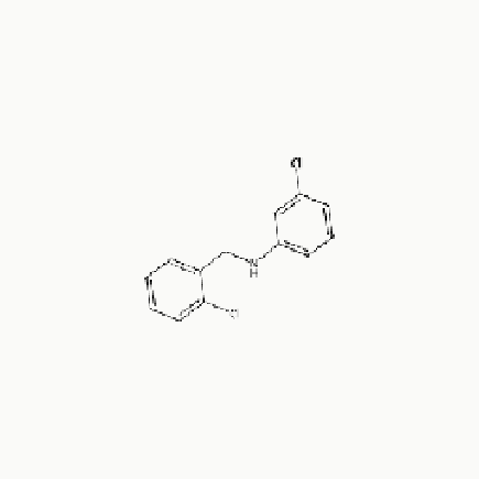 Clc1cccc(NCc2ccccc2Cl)c1